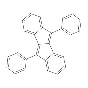 c1ccc(C2=C3C(=C(c4ccccc4)c4ccccc43)c3ccccc32)cc1